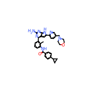 Cc1c(NC(=O)c2ccc(C3CC3)cc2)cccc1-c1nc(N)nc2[nH]c(-c3ccc(CN4CCOCC4)cn3)cc12